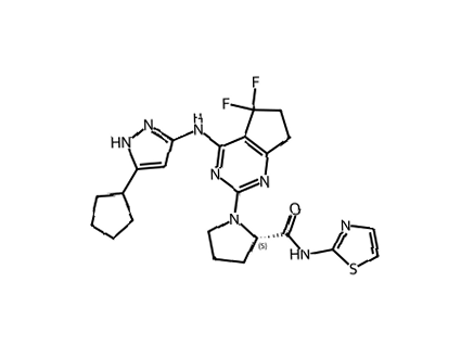 O=C(Nc1nccs1)[C@@H]1CCCN1c1nc2c(c(Nc3cc(C4CCCC4)[nH]n3)n1)C(F)(F)CC2